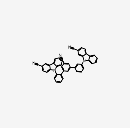 N#Cc1cc(-c2cccc(-n3c4ccccc4c4ccc(C#N)cc43)c2)cc(-c2ccccc2-n2c3ccccc3c3cc(C#N)ccc32)c1